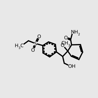 CCS(=O)(=O)c1ccc(C(CO)C2(OC)C=CC=CC2C(N)=O)cc1